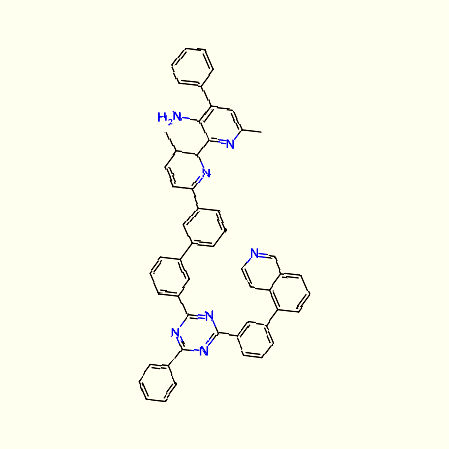 Cc1cc(-c2ccccc2)c(N)c(C2N=C(c3cccc(-c4cccc(-c5nc(-c6ccccc6)nc(-c6cccc(-c7cccc8cnccc78)c6)n5)c4)c3)C=CC2C)n1